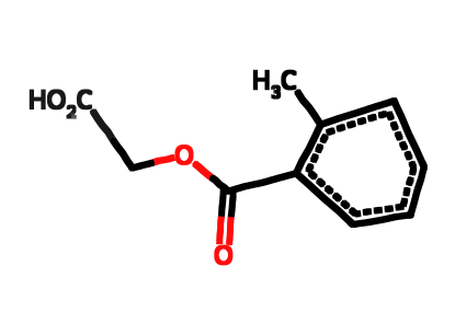 Cc1ccccc1C(=O)OCC(=O)O